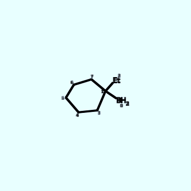 BC1(CC)CCCCC1